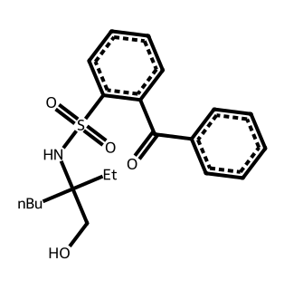 CCCCC(CC)(CO)NS(=O)(=O)c1ccccc1C(=O)c1ccccc1